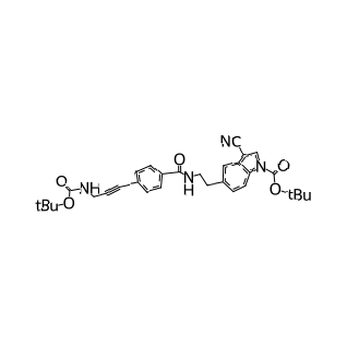 CC(C)(C)OC(=O)NCC#Cc1ccc(C(=O)NCCc2ccc3c(c2)c(C#N)cn3C(=O)OC(C)(C)C)cc1